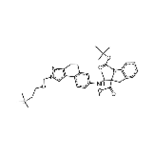 COC(=O)C1(C(C)Nc2ccc3c(c2)CCc2nn(COCC[Si](C)(C)C)cc2-3)Cc2ccccc2N1C(=O)OC(C)(C)C